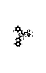 CC(C)C[C@@](C)(CCc1cccc(F)c1)NC(=O)c1cnc2c(F)cccc2c1